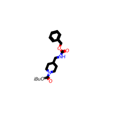 CC(C)COC(=O)N1CCC(CNC(=O)OCc2ccccc2)CC1